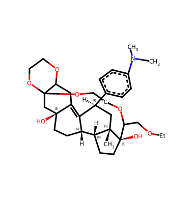 CCOCC1OCCOC23C[C@@]4(O)CC[C@@H]5C(=C4CC2OCCO3)[C@@H](c2ccc(N(C)C)cc2)C[C@@]2(C)[C@@H]5CC[C@@]12O